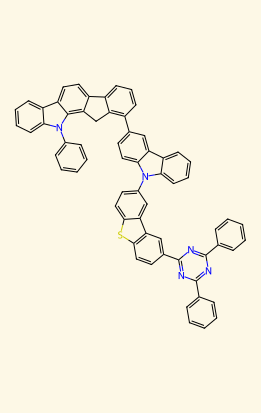 c1ccc(-c2nc(-c3ccccc3)nc(-c3ccc4sc5ccc(-n6c7ccccc7c7cc(-c8cccc9c8Cc8c-9ccc9c%10ccccc%10n(-c%10ccccc%10)c89)ccc76)cc5c4c3)n2)cc1